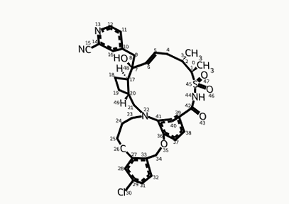 C[C@@H]1[C@@H](C)C/C=C/[C@@](O)(Cc2ccnc(C#N)c2)[C@@H]2CC[C@H]2CN2CCCCc3cc(Cl)ccc3COc3ccc(cc32)C(=O)NS1(=O)=O